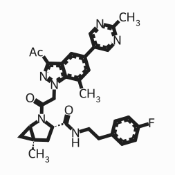 CC(=O)c1nn(CC(=O)N2C3C[C@]3(C)C[C@H]2C(=O)NCCc2ccc(F)cc2)c2c(C)cc(-c3cnc(C)nc3)cc12